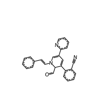 N#Cc1ccccc1C1=CC(c2ccccn2)=CN(C=Cc2ccccc2)C1C=O